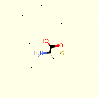 C[C@H](N)C(=O)O.[S]